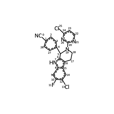 N#Cc1ccc(C2c3[nH]c4cc(F)c(Cl)cc4c3CCN2c2nccc(Cl)n2)cc1